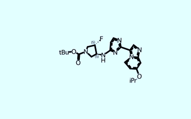 CC(C)Oc1ccn2c(-c3nccc(N[C@H]4CN(C(=O)OC(C)(C)C)C[C@@H]4F)n3)cnc2c1